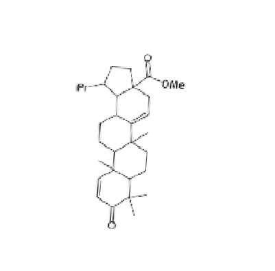 COC(=O)C12CC=C3C(CCC4C3(C)CCC3C(C)(C)C(=O)C=CC34C)C1C(C(C)C)CC2